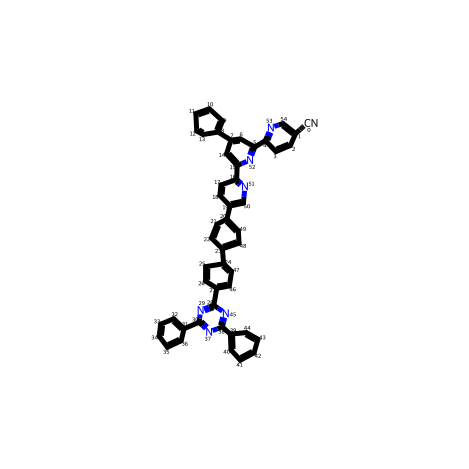 N#Cc1ccc(-c2cc(-c3ccccc3)cc(-c3ccc(-c4ccc(-c5ccc(-c6nc(-c7ccccc7)nc(-c7ccccc7)n6)cc5)cc4)cn3)n2)nc1